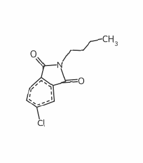 CCCCN1C(=O)c2ccc(Cl)cc2C1=O